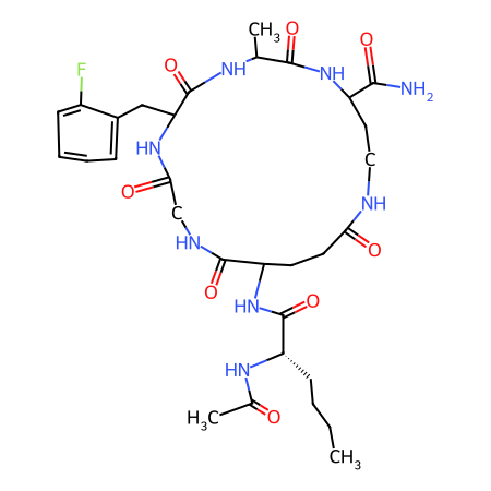 CCCC[C@H](NC(C)=O)C(=O)NC1CCC(=O)NCCC(C(N)=O)NC(=O)C(C)NC(=O)C(Cc2ccccc2F)NC(=O)CNC1=O